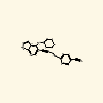 N#Cc1ccc(NCC#Cc2cnc3[nH]ccc3c2NC2CCCCC2)cc1